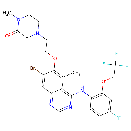 Cc1c(OCCN2CCN(C)C(=O)C2)c(Br)cc2ncnc(Nc3ccc(F)cc3OCC(F)(F)F)c12